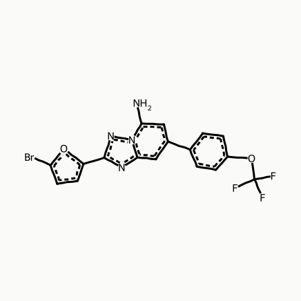 Nc1cc(-c2ccc(OC(F)(F)F)cc2)cc2nc(-c3ccc(Br)o3)nn12